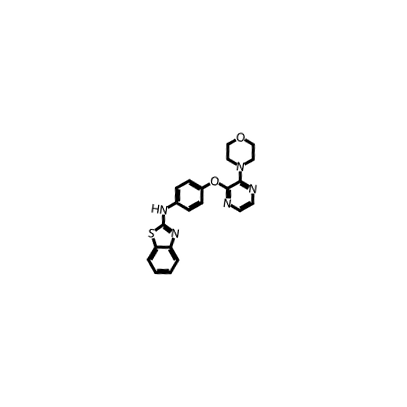 c1ccc2sc(Nc3ccc(Oc4nccnc4N4CCOCC4)cc3)nc2c1